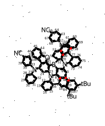 CC(C)(C)c1cc(-c2cc3c4c(c2)N(c2ccccc2-c2ccccc2)c2cc(N(c5ccccc5)c5ccc(C#N)cc5)c5c(oc6ccccc65)c2B4c2ccc(N(c4ccccc4)c4ccc(C#N)cc4)cc2N3c2ccccc2-c2ccccc2)cc(C(C)(C)C)c1